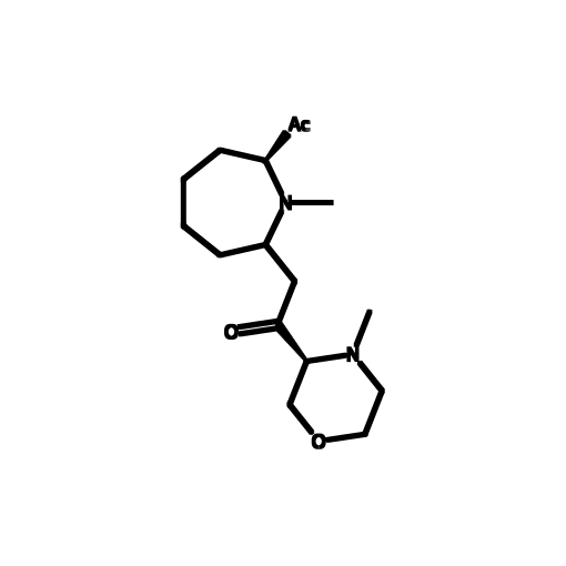 CC(=O)[C@@H]1CCCCC(CC(=O)[C@@H]2COCCN2C)N1C